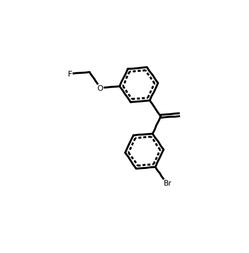 C=C(c1cccc(Br)c1)c1cccc(OCF)c1